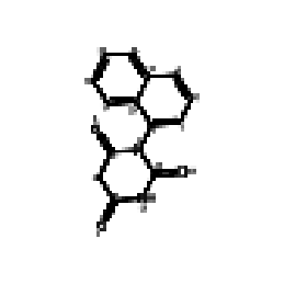 O=C1CC(=O)N(c2cccc3ccccc23)C(=O)N1